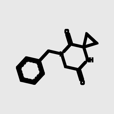 O=C1CN(Cc2ccccc2)C(=O)C2(CC2)N1